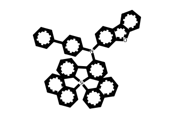 c1ccc(-c2ccc(N(c3ccc4c(c3)oc3ccccc34)c3cccc4c3-c3ccccc3[Si]4(c3cccc4ccccc34)c3cccc4ccccc34)cc2)cc1